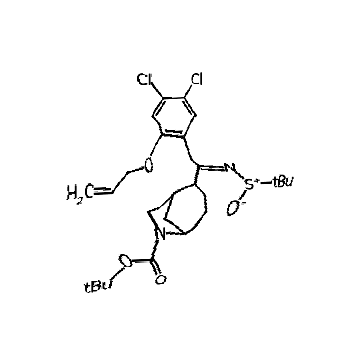 C=CCOc1cc(Cl)c(Cl)cc1/C(=N/[S+]([O-])C(C)(C)C)C1CC2CC1CN2C(=O)OC(C)(C)C